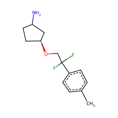 Cc1ccc(C(F)(F)CO[C@H]2CCC(N)C2)cc1